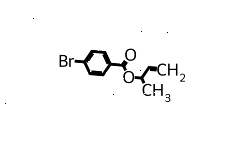 C=CC(C)OC(=O)c1ccc(Br)cc1